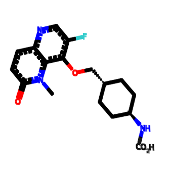 Cn1c(=O)ccc2ncc(F)c(OC[C@H]3CC[C@H](NC(=O)O)CC3)c21